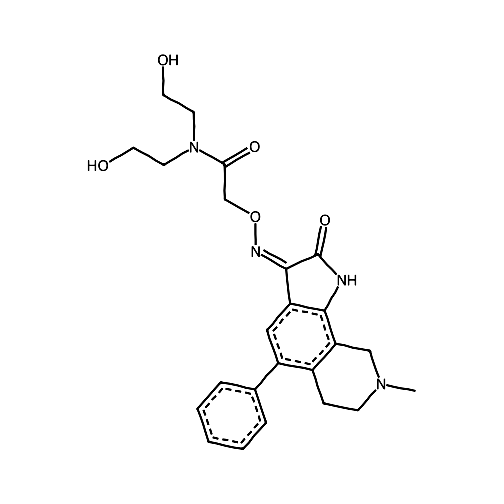 CN1CCc2c(-c3ccccc3)cc3c(c2C1)NC(=O)C3=NOCC(=O)N(CCO)CCO